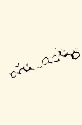 CNc1nnc(-c2ccccc2O)cc1N1CCN(CC2CCCN(CCOc3cc([C@H](C(=O)N4CC[C@@H](O)C4)C(C)C)on3)C2)CC1